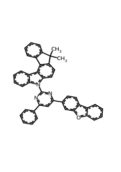 CC1(C)c2ccccc2-c2c1ccc1c2c2ccccc2n1-c1nc(-c2ccccc2)cc(-c2ccc3c(c2)oc2ccccc23)n1